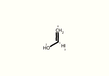 C=CO.I